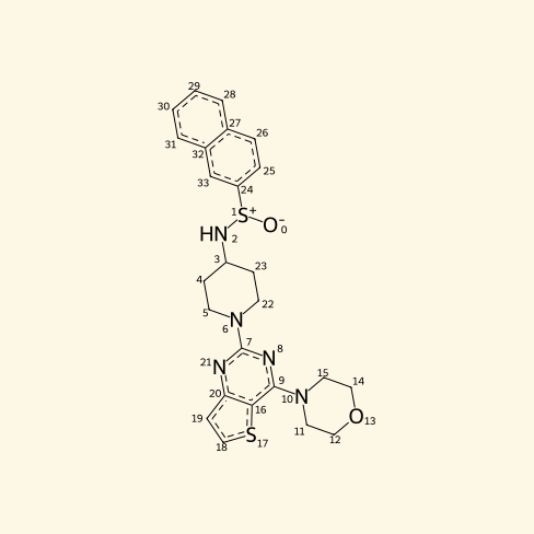 [O-][S+](NC1CCN(c2nc(N3CCOCC3)c3sccc3n2)CC1)c1ccc2ccccc2c1